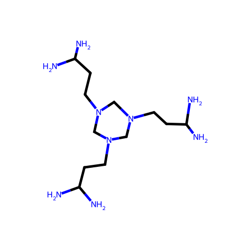 NC(N)CCN1CN(CCC(N)N)CN(CCC(N)N)C1